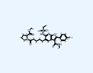 CCS(=O)(=O)Nc1nc2oc(-c3ccc(F)cc3)c(C(=O)NC)c2cc1CCCCC(=O)N1CCCC1C(=O)OC